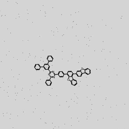 c1ccc(-c2cc(-c3ccccc3)cc(-c3nc(-c4ccccc4)nc(-c4ccc(-c5ccc(-c6ccc7c(c6)sc6ccccc67)c6c5oc5ccccc56)cc4)n3)c2)cc1